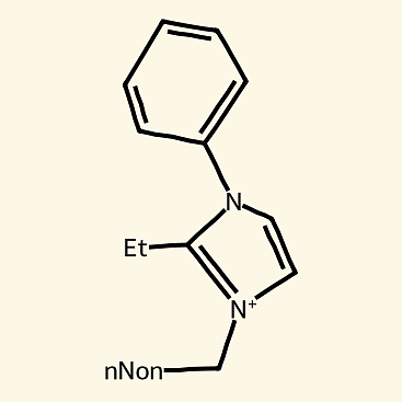 CCCCCCCCCC[n+]1ccn(-c2ccccc2)c1CC